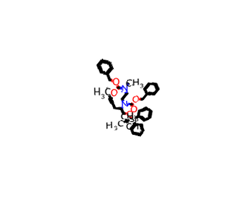 CC#CCC(CO[Si](c1ccccc1)(c1ccccc1)C(C)(C)C)N(CCN(C)C(=O)OCc1ccccc1)C(=O)OCc1ccccc1